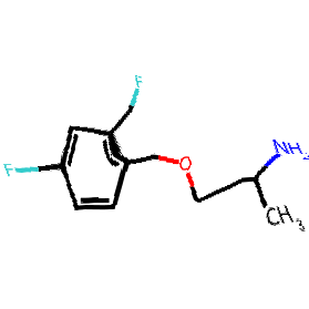 CC(N)COc1ccc(F)cc1F